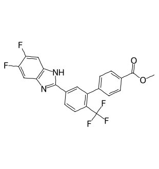 COC(=O)c1ccc(-c2cc(-c3nc4cc(F)c(F)cc4[nH]3)ccc2C(F)(F)F)cc1